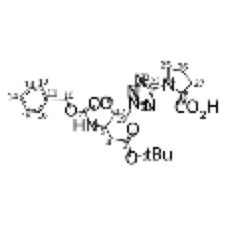 CC(C)(C)OC(=O)CC(NC(=O)OCc1ccccc1)C(=O)Cn1nnc(N2CCC[C@H]2C(=O)O)n1